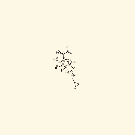 C=C(C)[C@H](O)[C@H]1O[C@@H]2SC(NCC3CC3)=N[C@@H]2[C@@H](O)[C@@H]1O